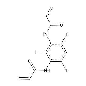 C=CC(=O)Nc1c(I)cc(I)c(NC(=O)C=C)c1I